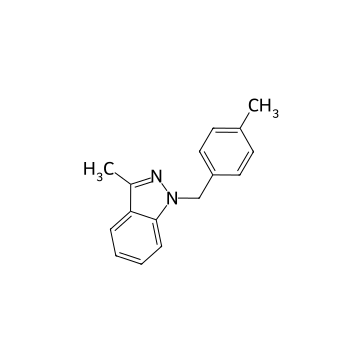 Cc1ccc(Cn2nc(C)c3ccccc32)cc1